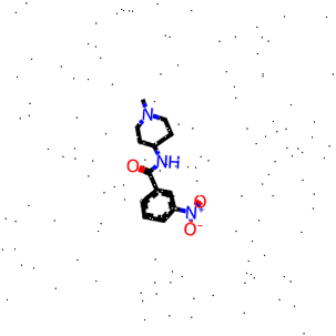 CN1CCC(NC(=O)c2cccc([N+](=O)[O-])c2)CC1